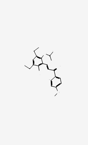 CCc1cc(CC)c(OC(C)C)c(/C=C/C(=O)c2ccc(NC)cc2)c1O